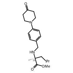 COC(=O)[C@](C)(CC(C)C)NCc1ccc(N2CCC(=O)CC2)cc1